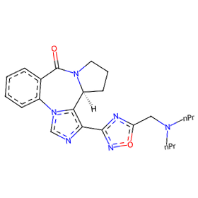 CCCN(CCC)Cc1nc(-c2ncn3c2[C@@H]2CCCN2C(=O)c2ccccc2-3)no1